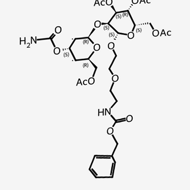 CC(=O)OC[C@H]1[CH][C@H](OC(N)=O)[CH][C@@H](O[C@@H]2[C@@H](OCCOCCNC(=O)OCc3ccccc3)O[C@@H](COC(C)=O)[C@@H](OC(C)=O)[C@@H]2OC(C)=O)O1